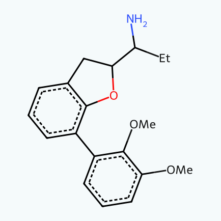 CCC(N)C1Cc2cccc(-c3cccc(OC)c3OC)c2O1